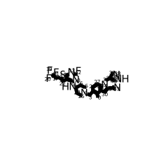 Cc1c(CN2CCC(Nc3nc(F)nc4sc(CC(F)(F)F)cc34)CC2)ccc2c1cc(C#N)n2Cc1cn[nH]c1